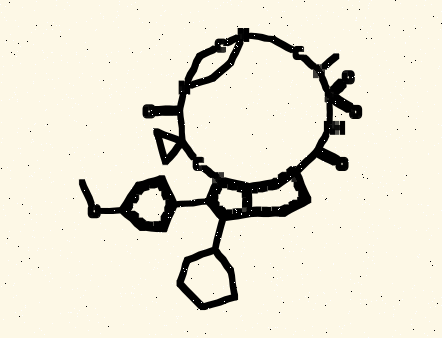 COc1ccc(-c2c(C3CCCCC3)c3ccc4cc3n2CC2(CC2)C(=O)N2CCN(CC2)CCN(C)S(=O)(=O)NC4=O)cc1